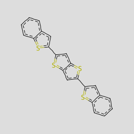 c1ccc2sc(-c3cc4sc(-c5cc6ccccc6s5)cc4s3)cc2c1